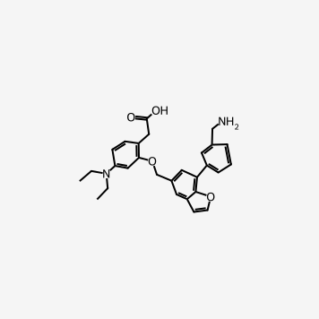 CCN(CC)c1ccc(CC(=O)O)c(OCc2cc(-c3cccc(CN)c3)c3occc3c2)c1